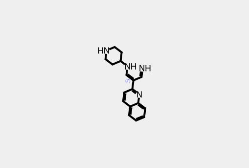 N=C/C(=C\NC1CCNCC1)c1ccc2ccccc2n1